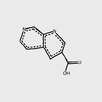 O=C(O)c1cnc2cnccc2c1